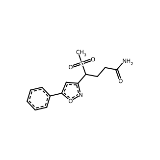 CS(=O)(=O)C(CCC(N)=O)c1cc(-c2ccccc2)on1